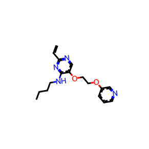 C=Cc1ncc(OCCOc2cccnc2)c(NCCCC)n1